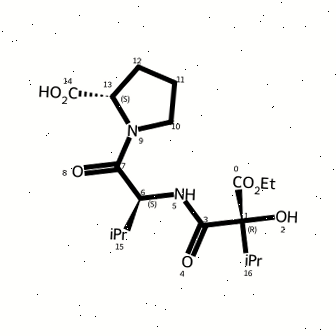 CCOC(=O)[C@](O)(C(=O)N[C@H](C(=O)N1CCC[C@H]1C(=O)O)C(C)C)C(C)C